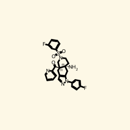 N[C@@]12CCN(S(=O)(=O)c3cccc(F)c3)C[C@@]1(C(=O)c1ccccn1)Cc1cnn(-c3ccc(F)cc3)c1C2